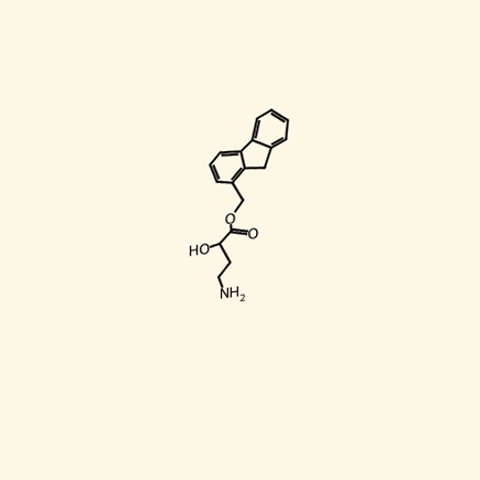 NCCC(O)C(=O)OCc1cccc2c1Cc1ccccc1-2